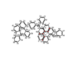 c1ccc(-c2cccc(-c3ccccc3N(c3ccc(-c4ccccc4-c4ccccc4-n4c5ccccc5c5ccccc54)cc3)c3ccc(-c4ccccc4-c4cccc5c4oc4ccccc45)cc3)c2)cc1